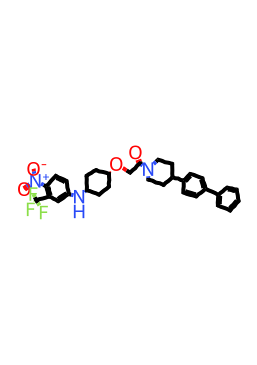 O=C(CO[C@H]1CC[C@H](Nc2ccc([N+](=O)[O-])c(C(F)(F)F)c2)CC1)N1CCC(c2ccc(-c3ccccc3)cc2)CC1